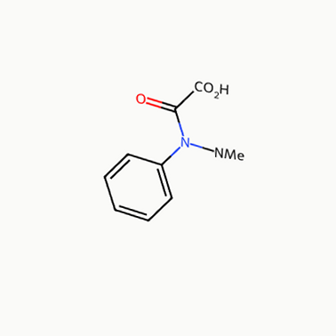 CNN(C(=O)C(=O)O)c1ccccc1